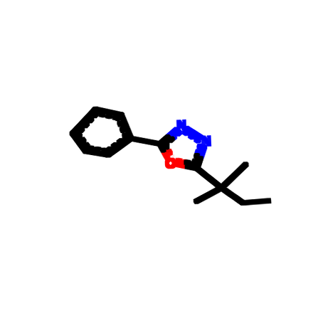 CCC(C)(C)c1nnc(-c2ccccc2)o1